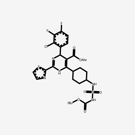 COC(=O)C1=C(C2CCC(NS(=O)(=O)NC(=O)OC(C)(C)C)CC2)NC(c2nccs2)=NC1c1ccc(F)c(F)c1Cl